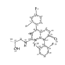 Cc1cc(F)ccc1-c1nc(NC[C@@H](C)O)nc2c1ccc(=O)n2-c1c(F)cccc1F